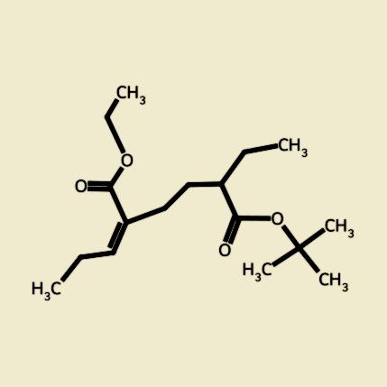 CCC=C(CCC(CC)C(=O)OC(C)(C)C)C(=O)OCC